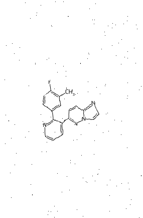 Cc1cc(-c2ncccc2-c2ccc3nccn3n2)ccc1F